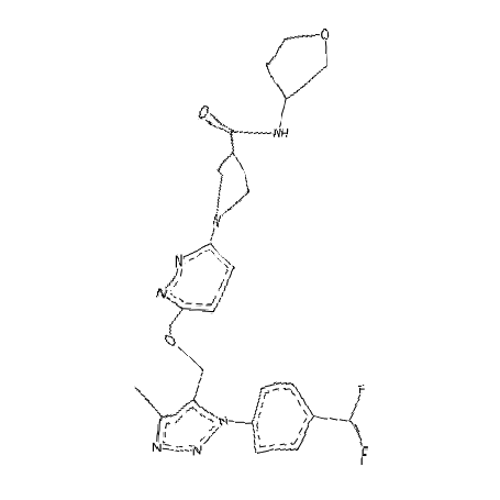 Cc1nnn(-c2ccc(C(F)F)cc2)c1COc1ccc(N2CC(C(=O)NC3CCOC3)C2)nn1